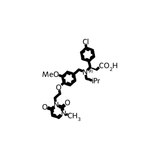 COc1cc(CN(CC(C)C)[C@H](CC(=O)O)c2ccc(Cl)cc2)ccc1OCCn1c(=O)ccn(C)c1=O